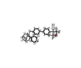 OC(c1ccc(-c2ccc(CN3CCC4CC(C3)N4Cc3ccncc3)cc2)cc1)(C(F)(F)F)C(F)(F)F